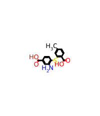 Cc1ccc(C(=O)O)c(Sc2ccc(C(=O)O)cc2N)c1